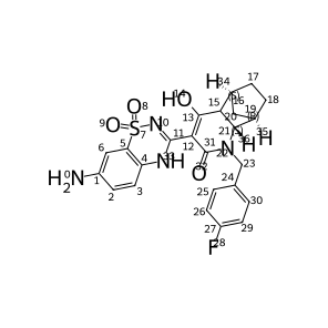 Nc1ccc2c(c1)S(=O)(=O)N=C(C1=C(O)C3[C@H]4CC[C@H](C4)[C@@H]3N(Cc3ccc(F)cc3)C1=O)N2